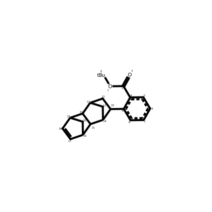 CC(C)(C)OC(=O)c1ccccc1C1CC2CC1C1C3C=CC(C3)C21